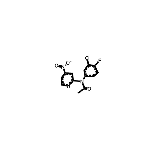 CC(=O)N(c1ccc(F)c(Cl)c1)c1cc([N+](=O)[O-])ccn1